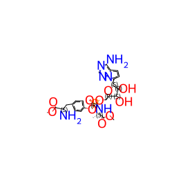 COC(=O)[C@H](C)N[P@@](=O)(OC[C@H]1O[C@@H](c2ccc3c(N)ncnn23)[C@H](O)[C@@H]1O)Oc1ccc(C[C@H](N)C(=O)OC)cc1